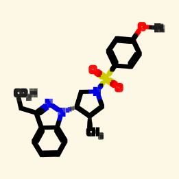 CCOc1ccc(S(=O)(=O)N2C[C@@H](C)[C@H](n3nc(CC(=O)O)c4ccccc43)C2)cc1